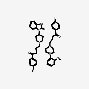 COc1ccccc1N1CCN(CCCC(=O)c2ccc(F)cc2)CC1.O=C(CCCN1CCC(n2c(=O)[nH]c3ccccc32)CC1)c1ccc(F)cc1